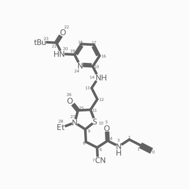 C#CCNC(=O)C(C#N)CC1SC(CCNc2cccc(NC(=O)C(C)(C)C)n2)C(=O)N1CC